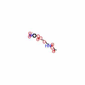 CC(=O)COC(=O)NCCCOCCOC(=O)Oc1ccc([N+](=O)[O-])cc1